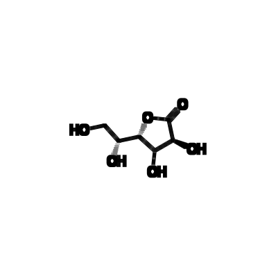 O=C1O[C@@H]([C@H](O)CO)C(O)[C@@H]1O